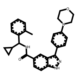 Cc1ccccc1C(NC(=O)c1ccc2[nH]nc(-c3ccc(N4CCOCC4)cc3)c2c1)C1CC1